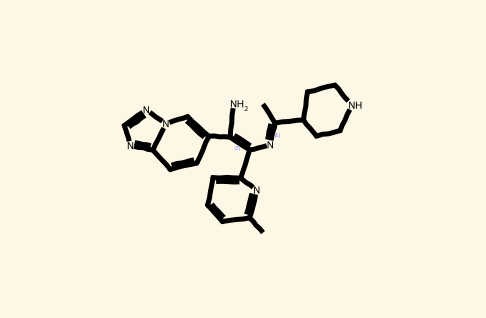 C/C(=N\C(=C(/N)c1ccc2ncnn2c1)c1cccc(C)n1)C1CCNCC1